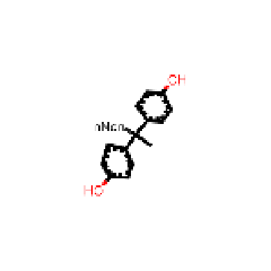 CCCCCCCCCC(C)(c1ccc(O)cc1)c1ccc(O)cc1